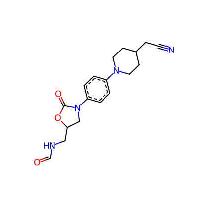 N#CCC1CCN(c2ccc(N3CC(CNC=O)OC3=O)cc2)CC1